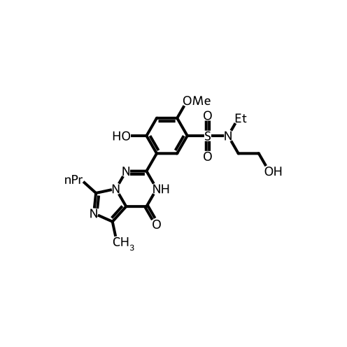 CCCc1nc(C)c2c(=O)[nH]c(-c3cc(S(=O)(=O)N(CC)CCO)c(OC)cc3O)nn12